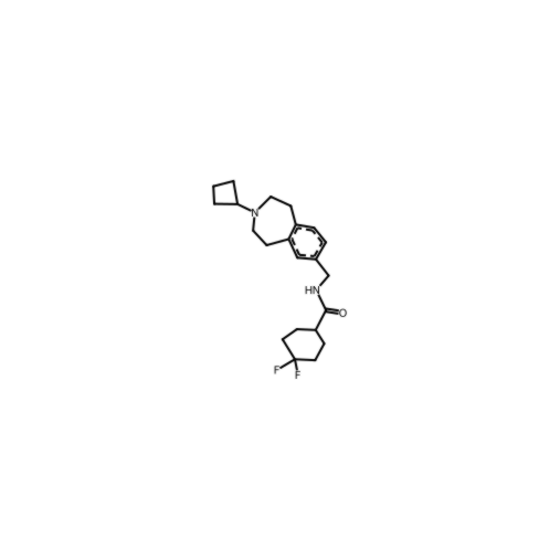 O=C(NCc1ccc2c(c1)CCN(C1CCC1)CC2)C1CCC(F)(F)CC1